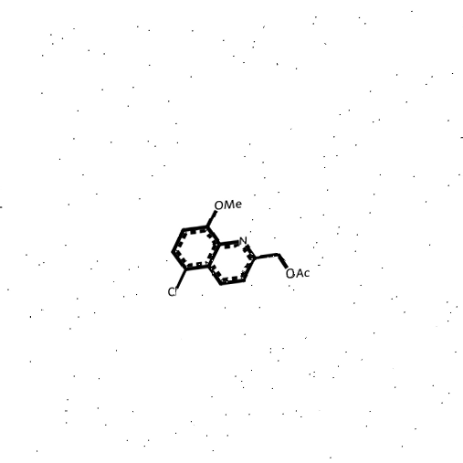 COc1ccc(Cl)c2ccc(COC(C)=O)nc12